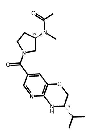 CC(=O)N(C)[C@H]1CCN(C(=O)c2cnc3c(c2)OC[C@H](C(C)C)N3)C1